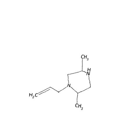 C=CCN1CC(C)NCC1C